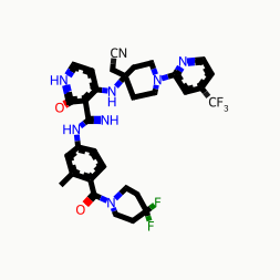 Cc1cc(NC(=N)c2c(NC3(CC#N)CCN(c4cc(C(F)(F)F)ccn4)CC3)cc[nH]c2=O)ccc1C(=O)N1CCC(F)(F)CC1